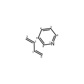 C=CC=C.c1ccncc1